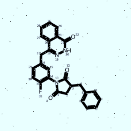 O=C1CC(Cc2ccccc2)C(=O)N1c1cc(Cc2n[nH]c(=O)c3ccccc23)ccc1F